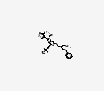 CCn1c(-c2nonc2N)nc2c(C#CC(C)(C)O)nc(OCC(CN)CCc3ccccc3)cc21